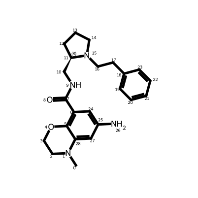 CN1CCOc2c(C(=O)NC[C@H]3CCCN3CCc3ccccc3)cc(N)cc21